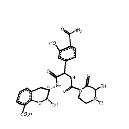 CCN1CCN(C(=O)NC(C(=O)N[C@H]2Cc3cccc(C(=O)O)c3OB2O)c2ccc(C(N)=O)c(O)c2)C(=O)C1O